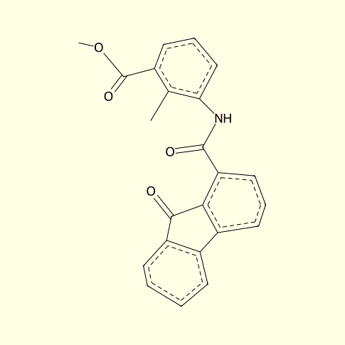 COC(=O)c1cccc(NC(=O)c2cccc3c2C(=O)c2ccccc2-3)c1C